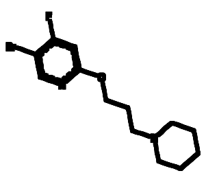 Fc1cc(OCCCN2CCCCC2)ncc1Br